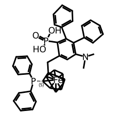 CN(C)c1cc(C[C]23[CH]4[CH]5[CH]6[C@]2(P(c2ccccc2)c2ccccc2)[Fe]54632789[CH]3[CH]2[CH]7[CH]8[CH]39)c(P(=O)(O)O)c(-c2ccccc2)c1-c1ccccc1